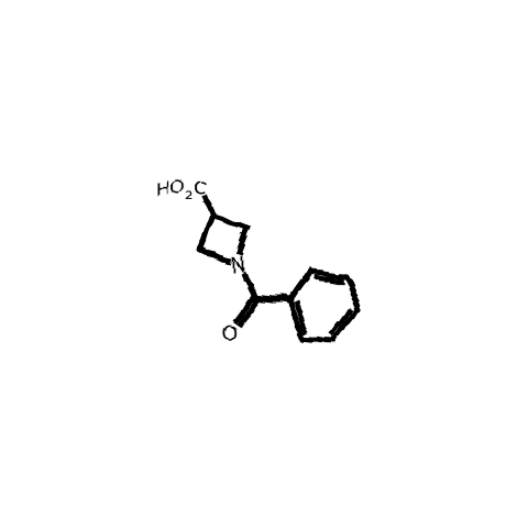 O=C(O)C1CN(C(=O)c2ccccc2)C1